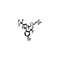 C[Si](C)(C)CCOCn1cc(C(F)(F)F)nc1-c1ccc(Br)cc1C(F)(F)F